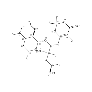 CO[C@](C)(C[C@@H](C)C=O)[C@@H](CC1=C(C)C(=O)OC(C)(C)O1)O[C@@H]1O[C@H](C)CC(N(C)C)[C@H]1P=O